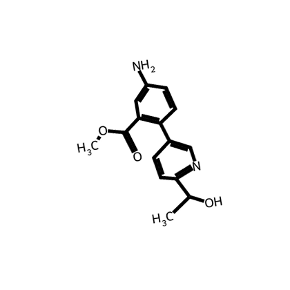 COC(=O)c1cc(N)ccc1-c1ccc(C(C)O)nc1